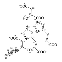 O=C([O-])C=Cc1c[nH]cn1.O=C([O-])C=Cc1c[nH]cn1.O=C([O-])CC(O)C(=O)[O-].O=C([O-])CC(O)C(=O)[O-].[Mn+2].[Mn+2].[Mn+2]